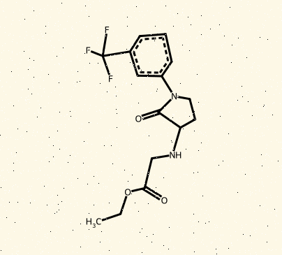 CCOC(=O)CNC1CCN(c2cccc(C(F)(F)F)c2)C1=O